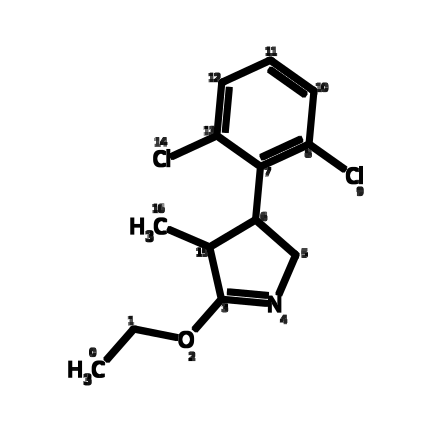 CCOC1=NCC(c2c(Cl)cccc2Cl)C1C